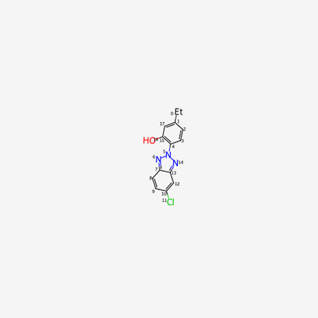 CCc1ccc(-n2nc3ccc(Cl)cc3n2)c(O)c1